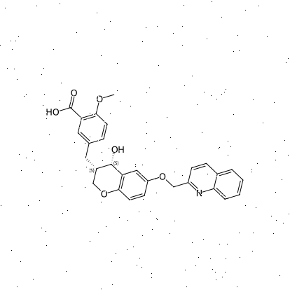 COc1ccc(C[C@H]2COc3ccc(OCc4ccc5ccccc5n4)cc3[C@H]2O)cc1C(=O)O